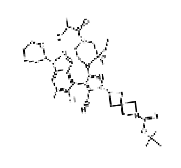 CC[C@@]1(C)CN(C(=O)C(C)Cl)CCN1c1nn(C2CC3(C2)CN(C(=O)OC(C)(C)C)C3)c(C#N)c1-c1c(Cl)c(C)cc2c1cnn2C1CCCCO1